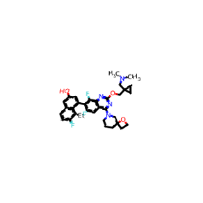 CCc1c(F)ccc2cc(O)cc(-c3c(F)cc4c(N5CCCC6(CCO6)C5)nc(OCC5(CN(C)C)CC5)nc4c3F)c12